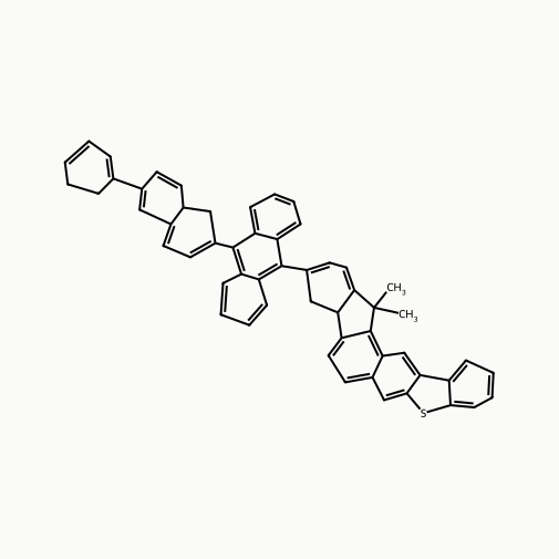 CC1(C)C2=CC=C(c3c4ccccc4c(C4=CC=C5C=C(C6=CC=CCC6)C=CC5C4)c4ccccc34)CC2c2ccc3cc4sc5ccccc5c4cc3c21